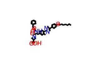 CCCCCCCOc1ccc(-c2cnc(-c3ccc(CC(NC(=O)OCc4ccccc4)C(=O)N4CC(C(=O)O)C4)cc3C)nc2)cc1